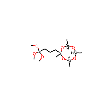 CO[Si](CCC[Si]1(C)O[SiH](C)O[SiH](C)O[SiH](C)O1)(OC)OC